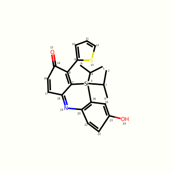 CC(C)[Si]1(C(C)C)C2=C(c3cccs3)C(=O)C=CC2=Nc2ccc(O)cc21